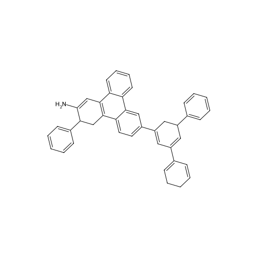 NC1=Cc2c(c3ccc(C4=CC(C5=CCCC=C5)=CC(c5ccccc5)C4)cc3c3ccccc23)CC1c1ccccc1